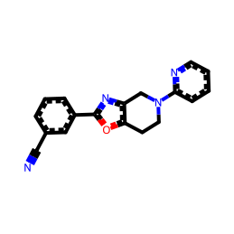 N#Cc1cccc(-c2nc3c(o2)CCN(c2ccccn2)C3)c1